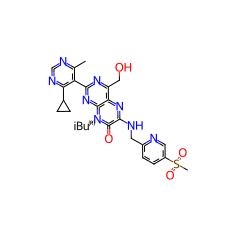 CC[C@@H](C)n1c(=O)c(NCc2ccc(S(C)(=O)=O)cn2)nc2c(CO)nc(-c3c(C)ncnc3C3CC3)nc21